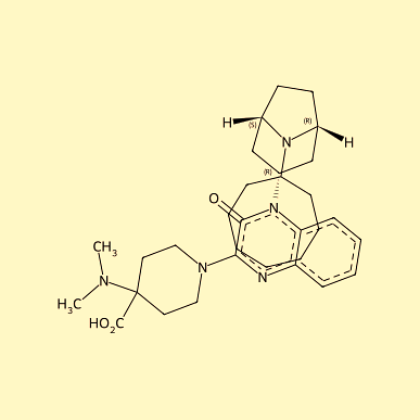 CN(C)C1(C(=O)O)CCN(c2nc3ccccc3n([C@H]3C[C@H]4CC[C@@H](C3)N4C3CCCCCCC3)c2=O)CC1